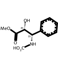 COC(=O)[C@H](O)[C@@H](NC(=O)O)c1ccccc1